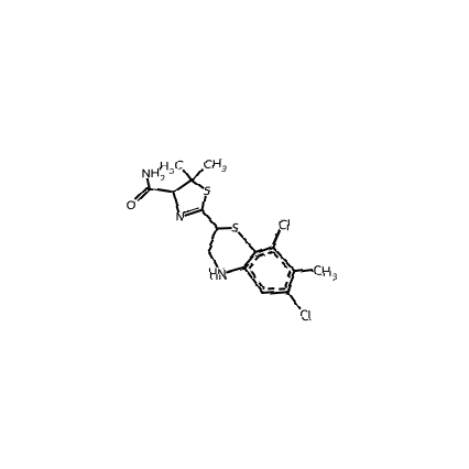 Cc1c(Cl)cc2c(c1Cl)SC(C1=NC(C(N)=O)C(C)(C)S1)CN2